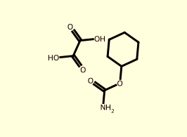 NC(=O)OC1CCCCC1.O=C(O)C(=O)O